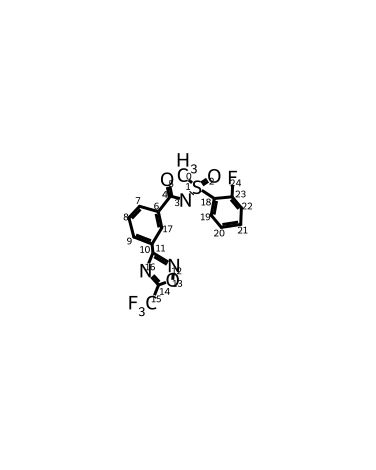 CS(=O)(=NC(=O)c1cccc(-c2noc(C(F)(F)F)n2)c1)c1ccccc1F